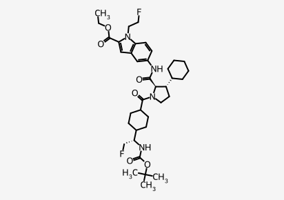 CCOC(=O)c1cc2cc(NC(=O)[C@H]3[C@H](C4CCCCC4)CCN3C(=O)C3CCC([C@@H](CF)NC(=O)OC(C)(C)C)CC3)ccc2n1CCF